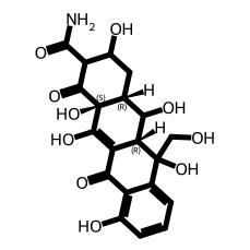 NC(=O)C1C(=O)[C@@]2(O)C(O)=C3C(=O)c4c(O)cccc4C(O)(CO)[C@H]3C(O)[C@H]2CC1O